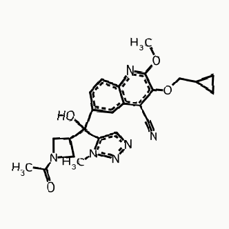 COc1nc2ccc(C(O)(c3cnnn3C)C3CN(C(C)=O)C3)cc2c(C#N)c1OCC1CC1